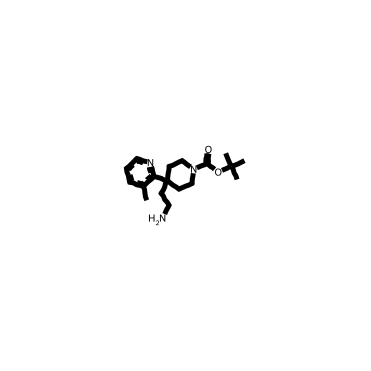 Cc1cccnc1C1(CCN)CCN(C(=O)OC(C)(C)C)CC1